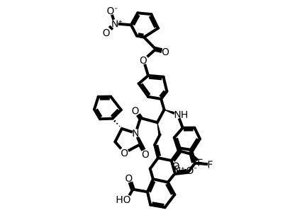 O=C(Oc1ccc([C@@H](Nc2ccc(F)cc2)[C@@H](C/C=C(/Cc2c(C(=O)O)cccc2[N+](=O)[O-])c2ccc(F)cc2)C(=O)N2C(=O)OC[C@@H]2c2ccccc2)cc1)c1cccc([N+](=O)[O-])c1